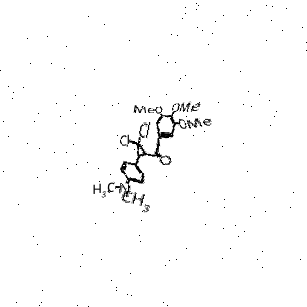 COc1cc(C(=O)C2C(c3ccc(N(C)C)cc3)C2(Cl)Cl)cc(OC)c1OC